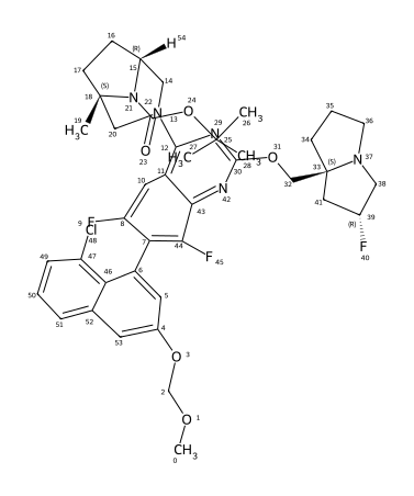 COCOc1cc(-c2c(F)cc3c(N4C[C@H]5CC[C@@](C)(C4)N5C(=O)OC(C)(C)C)nc(OC[C@@]45CCCN4C[C@H](F)C5)nc3c2F)c2c(Cl)cccc2c1